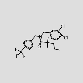 CCCC(C)(C)C(=O)N(Cc1ccc(C(F)(F)F)cc1)Cc1ccc(Cl)c(Cl)c1